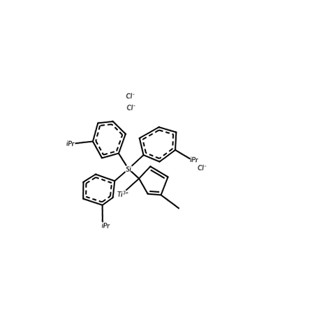 CC1=C[C]([Ti+3])([Si](c2cccc(C(C)C)c2)(c2cccc(C(C)C)c2)c2cccc(C(C)C)c2)C=C1.[Cl-].[Cl-].[Cl-]